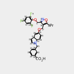 CC(C)c1onc(COc2c(F)cc(F)cc2F)c1COC1=CC2C=CN(Cc3cccc(C(=O)O)c3)C2C=C1